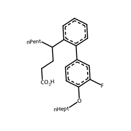 CCCCCCCOc1ccc(-c2ccccc2C(CCCCC)CCC(=O)O)cc1F